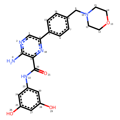 Nc1ncc(-c2ccc(CN3CCOCC3)cc2)nc1C(=O)Nc1cc(O)cc(O)c1